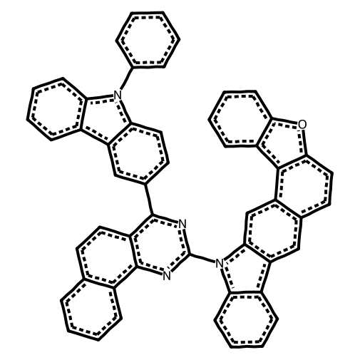 c1ccc(-n2c3ccccc3c3cc(-c4nc(-n5c6ccccc6c6cc7ccc8oc9ccccc9c8c7cc65)nc5c4ccc4ccccc45)ccc32)cc1